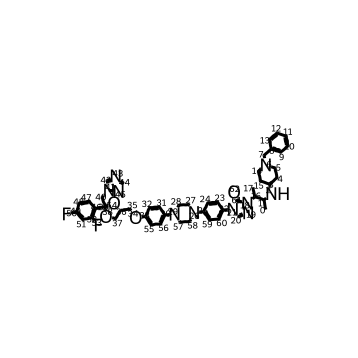 CC(NC1CCN(Cc2ccccc2)CC1)C(C)n1ncn(-c2ccc(N3CCN(c4ccc(OCC5COC(Cn6cncn6)(c6ccc(F)cc6F)O5)cc4)CC3)cc2)c1=O